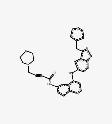 O=C(C#CCN1CCOCC1)Nc1ccc2ncnc(Nc3ccc4nnn(Cc5ccccc5)c4c3)c2c1